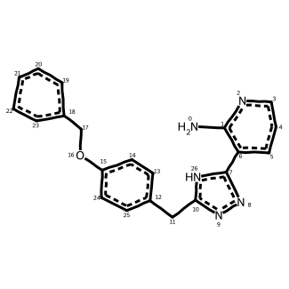 Nc1ncccc1-c1nnc(Cc2ccc(OCc3ccccc3)cc2)[nH]1